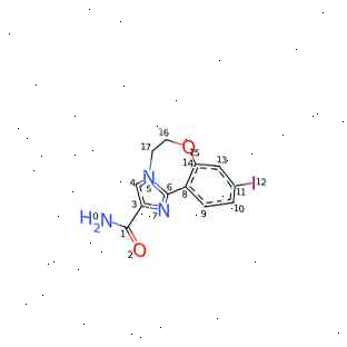 NC(=O)c1cn2c(n1)-c1ccc(I)cc1OCC2